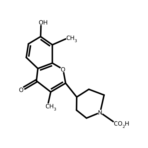 Cc1c(C2CCN(C(=O)O)CC2)oc2c(C)c(O)ccc2c1=O